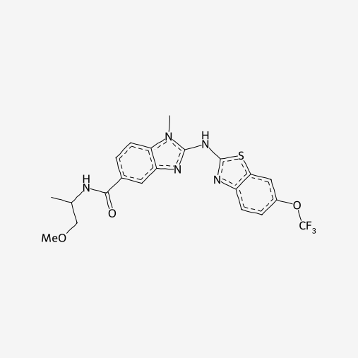 COCC(C)NC(=O)c1ccc2c(c1)nc(Nc1nc3ccc(OC(F)(F)F)cc3s1)n2C